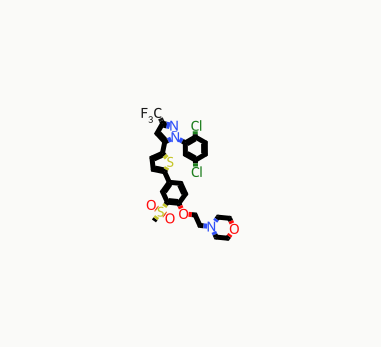 CS(=O)(=O)c1cc(-c2ccc(-c3cc(C(F)(F)F)nn3-c3cc(Cl)ccc3Cl)s2)ccc1OCCN1CCOCC1